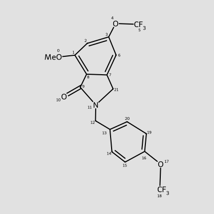 COc1cc(OC(F)(F)F)cc2c1C(=O)N(Cc1ccc(OC(F)(F)F)cc1)C2